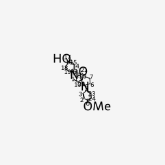 COc1ccc(N2CCC[C@@]3(CCN(C4CCC(O)CC4)C3=O)C2)cc1